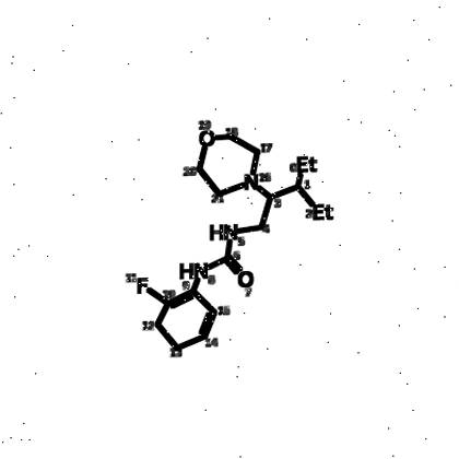 CCC(CC)C(CNC(=O)NC1=C(F)CCC=C1)N1CCOCC1